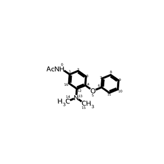 CC(=O)Nc1ccc(Oc2ccccc2)c(N(C)C)c1